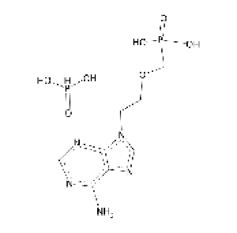 Nc1ncnc2c1ncn2CCOCP(=O)(O)O.O=[PH](O)O